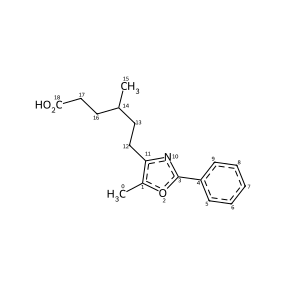 Cc1oc(-c2ccccc2)nc1CCC(C)CCC(=O)O